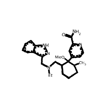 CCN(Cc1n[nH]c2ccccc12)CC1CCCC(C)C1(OC)c1ccnc(C(N)=O)c1